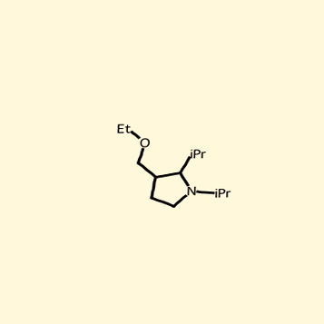 CCOCC1CCN(C(C)C)C1C(C)C